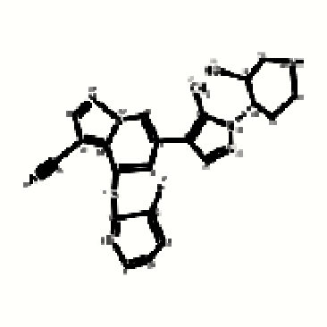 Cc1c(-c2cc(Sc3ncccc3F)c3c(C#N)cnn3c2)cnn1[C@H]1CCNC[C@@H]1O